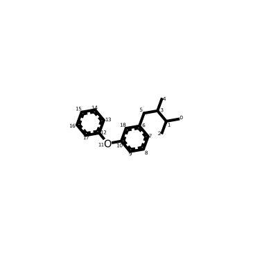 C[C](C)C(C)Cc1cccc(Oc2ccccc2)c1